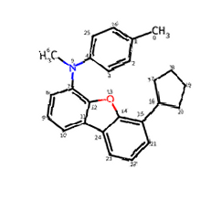 Cc1ccc(N(C)c2cccc3c2oc2c(C4CCCC4)cccc23)cc1